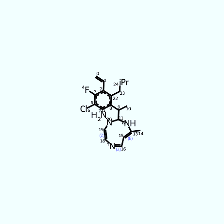 C=Cc1c(F)c(Cl)cc(C(C)C2N/C(C)=C/C=N\C=C/N2N)c1CC(C)C